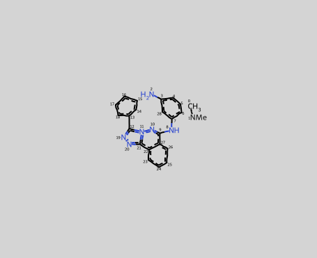 CNC.Nc1cccc(Nc2nn3c(-c4ccccc4)nnc3c3ccccc23)c1